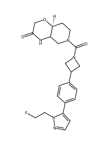 O=C1CO[C@H]2CCN(C(=O)N3CC(c4ccc(-c5ccnn5CCF)cc4)C3)CC2N1